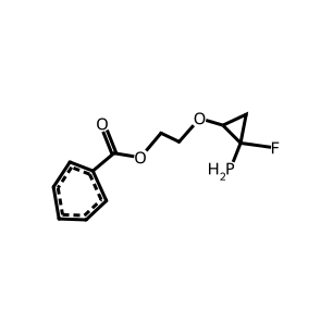 O=C(OCCOC1CC1(F)P)c1ccccc1